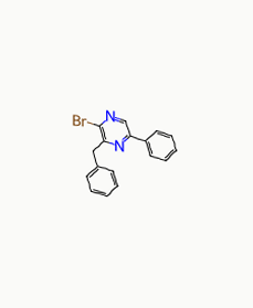 Brc1ncc(-c2ccccc2)nc1Cc1ccccc1